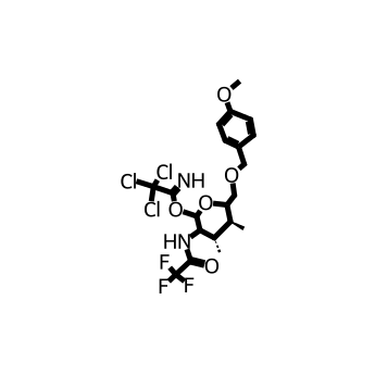 COc1ccc(COCC2OC(OC(=N)C(Cl)(Cl)Cl)C(NC(=O)C(F)(F)F)[C@@H](C)[C@@H]2C)cc1